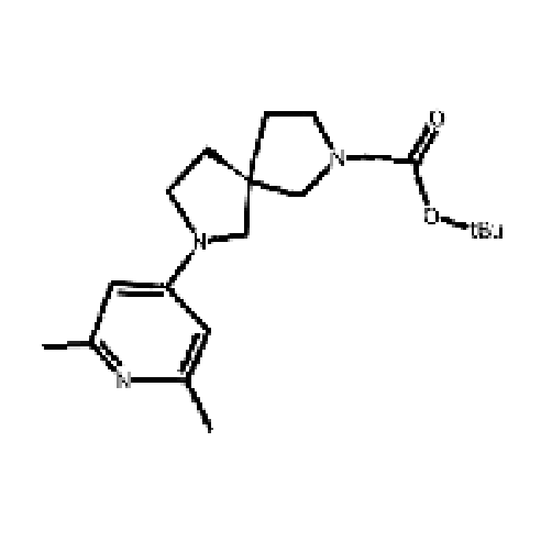 Cc1cc(N2CC[C@]3(CCN(C(=O)OC(C)(C)C)C3)C2)cc(C)n1